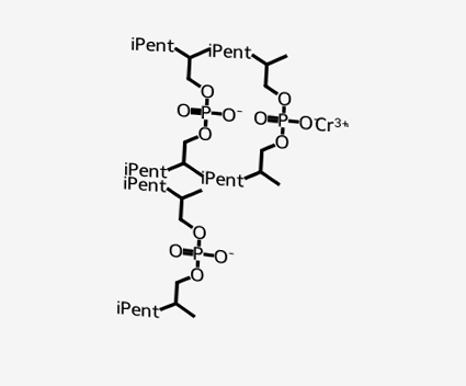 CCCC(C)C(C)COP(=O)([O-])OCC(C)C(C)CCC.CCCC(C)C(C)COP(=O)([O-])OCC(C)C(C)CCC.CCCC(C)C(C)COP(=O)([O-])OCC(C)C(C)CCC.[Cr+3]